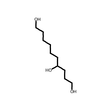 OCCCCCCC(O)CCCO